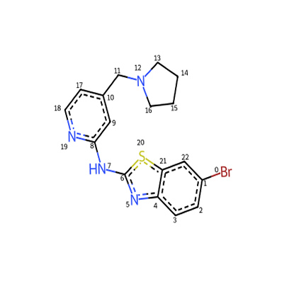 Brc1ccc2nc(Nc3cc(CN4CCCC4)ccn3)sc2c1